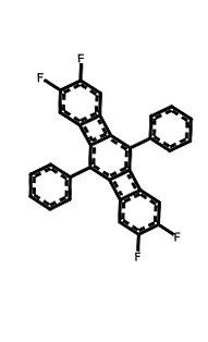 Fc1cc2c(cc1F)c1c(-c3ccccc3)c3c4cc(F)c(F)cc4c3c(-c3ccccc3)c21